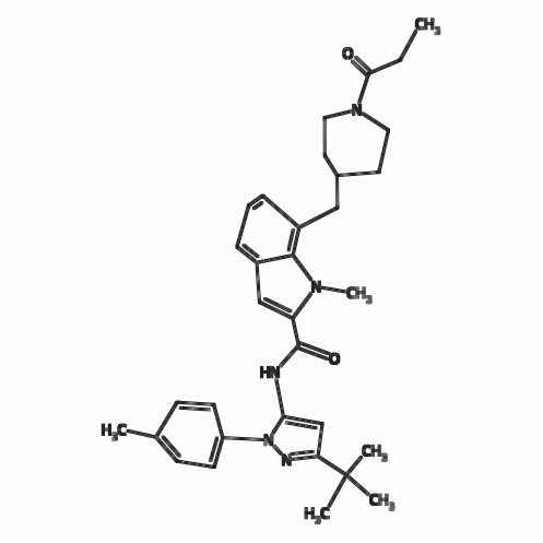 CCC(=O)N1CCC(Cc2cccc3cc(C(=O)Nc4cc(C(C)(C)C)nn4-c4ccc(C)cc4)n(C)c23)CC1